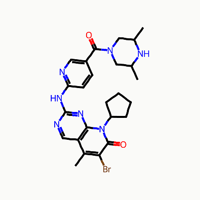 Cc1c(Br)c(=O)n(C2CCCC2)c2nc(Nc3ccc(C(=O)N4CC(C)NC(C)C4)cn3)ncc12